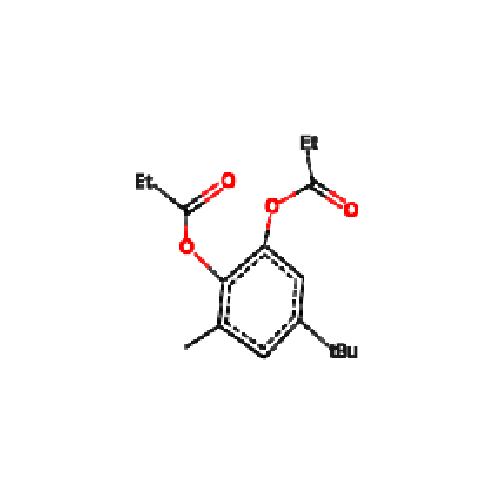 CCC(=O)Oc1cc(C(C)(C)C)cc(C)c1OC(=O)CC